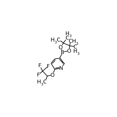 CC(Oc1ccc(B2OC(C)(C)C(C)(C)O2)cn1)C(F)(F)F